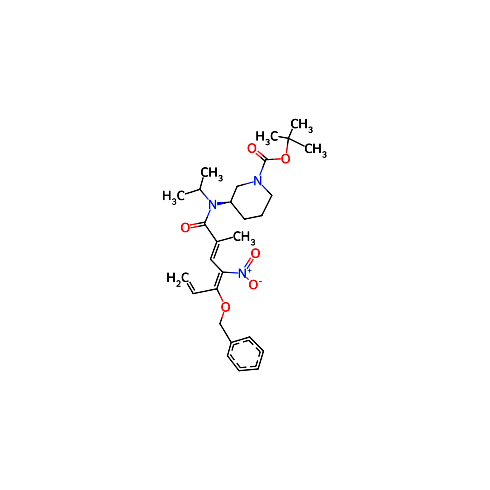 C=C/C(OCc1ccccc1)=C(\C=C(/C)C(=O)N(C(C)C)[C@@H]1CCCN(C(=O)OC(C)(C)C)C1)[N+](=O)[O-]